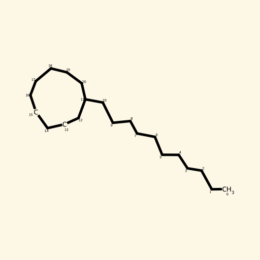 CCCCCCCCCCCC1CCCCCCCCC1